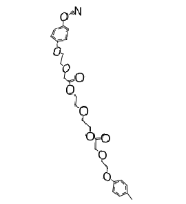 Cc1ccc(OCCOCC(=O)OCCOCCOC(=O)COCCOc2ccc(OC#N)cc2)cc1